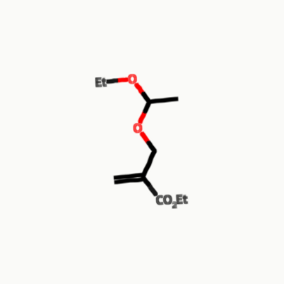 C=C(COC(C)OCC)C(=O)OCC